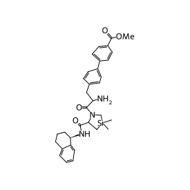 COC(=O)c1ccc(-c2ccc(CC(N)C(=O)N3C[Si](C)(C)CC3C(=O)N[C@@H]3CCCc4ccccc43)cc2)cc1